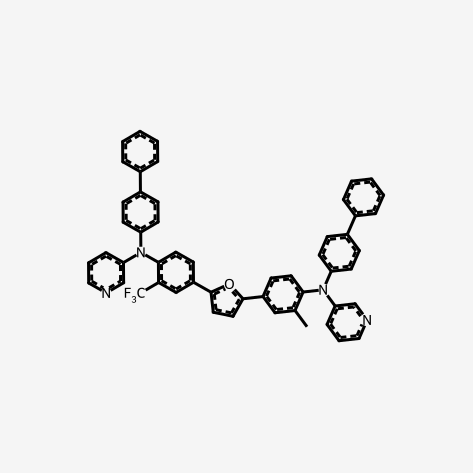 Cc1cc(-c2ccc(-c3ccc(N(c4ccc(-c5ccccc5)cc4)c4cccnc4)c(C(F)(F)F)c3)o2)ccc1N(c1ccc(-c2ccccc2)cc1)c1cccnc1